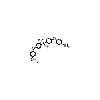 Nc1ccc(Oc2ccc(C(CF)(c3ccc(Oc4ccc(N)cc4)cc3)C(F)(F)F)cc2)cc1